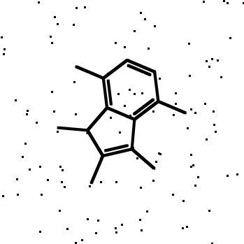 C[C]1C(C)=C(C)c2c(C)ccc(C)c21